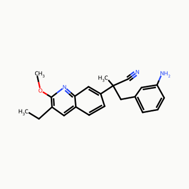 CCc1cc2ccc(C(C)(C#N)Cc3cccc(N)c3)cc2nc1OC